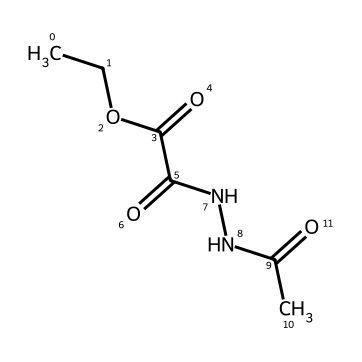 CCOC(=O)C(=O)NNC(C)=O